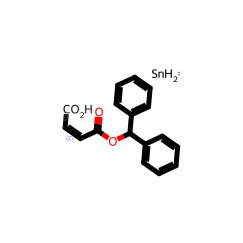 O=C(O)/C=C\C(=O)OC(c1ccccc1)c1ccccc1.[SnH2]